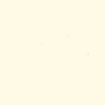 CC(NC(=O)C1CCOCC1)C(=O)NC(Cc1ccc(S(C)(=O)=O)cc1)C(=O)NC(CC1CCCC1)C(=O)C1(C)CO1